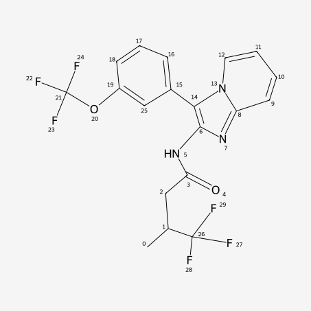 CC(CC(=O)Nc1nc2ccccn2c1-c1cccc(OC(F)(F)F)c1)C(F)(F)F